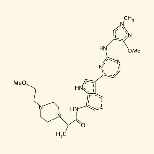 COCCN1CCN(C(C)C(=O)Nc2cccc3c(-c4ccnc(Nc5cn(C)nc5OC)n4)c[nH]c23)CC1